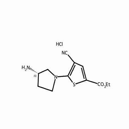 CCOC(=O)c1cc(C#N)c(N2CC[C@H](N)C2)s1.Cl